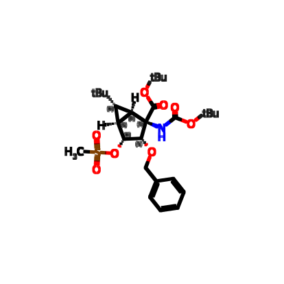 CC(C)(C)OC(=O)N[C@]1(C(=O)OC(C)(C)C)[C@H]2[C@@H]([C@@H](OS(C)(=O)=O)[C@H]1OCc1ccccc1)[C@@H]2C(C)(C)C